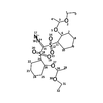 CCOC(C)OC1CCCCC1S(=O)(=O)C(=[N+]=[N-])S(=O)(=O)C1CCCCC1OC(C)OCC